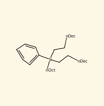 CCCCCCCCCCCC[Si](CCCCCCCC)(CCCCCCCCCCCC)c1ccccc1